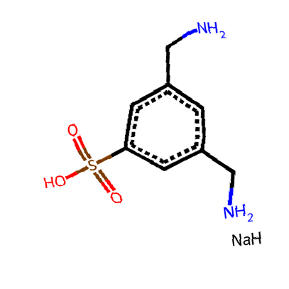 NCc1cc(CN)cc(S(=O)(=O)O)c1.[NaH]